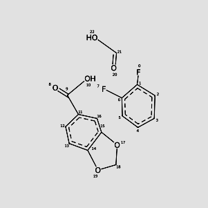 Fc1ccccc1F.O=C(O)c1ccc2c(c1)OCO2.O=CO